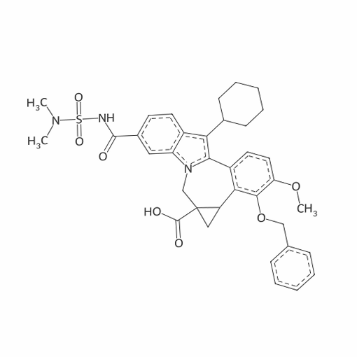 COc1ccc2c(c1OCc1ccccc1)C1CC1(C(=O)O)Cn1c-2c(C2CCCCC2)c2ccc(C(=O)NS(=O)(=O)N(C)C)cc21